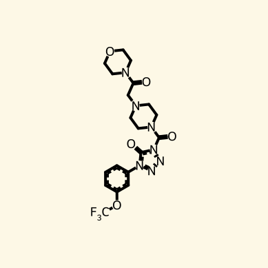 O=C(CN1CCN(C(=O)n2nnn(-c3cccc(OC(F)(F)F)c3)c2=O)CC1)N1CCOCC1